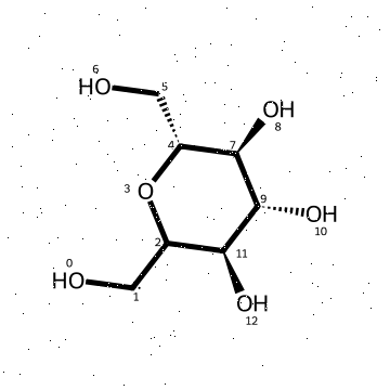 O[CH]C1O[C@H](CO)[C@@H](O)[C@H](O)[C@H]1O